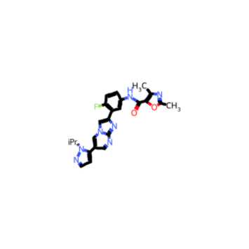 Cc1nc(C)c(C(=O)Nc2ccc(F)c(-c3cn4cc(-c5ccnn5C(C)C)cnc4n3)c2)o1